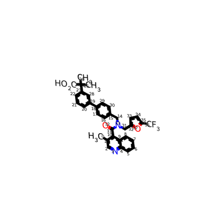 Cc1cnc2ccccc2c1C(=O)N(Cc1ccc(-c2cccc(C(C)(C)C(=O)O)c2)cc1)Cc1ccc(C(F)(F)F)o1